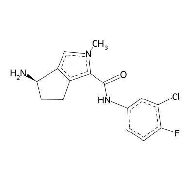 Cn1cc2c(c1C(=O)Nc1ccc(F)c(Cl)c1)CC[C@H]2N